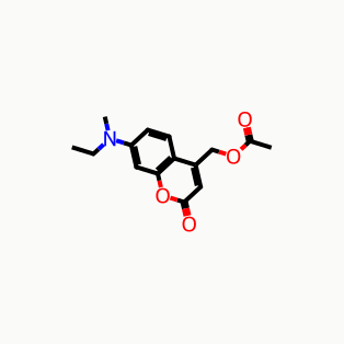 CCN(C)c1ccc2c(COC(C)=O)cc(=O)oc2c1